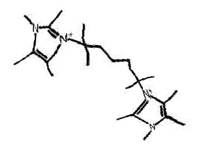 Cc1c(C)[n+](C(C)(C)CCCC(C)(C)[n+]2c(C)c(C)n(C)c2C)c(C)n1C